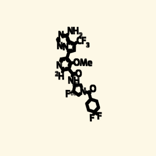 [2H]c1ncc(-c2cc(C(F)(F)F)c3c(N)ncnn23)c(OC)c1C(=O)N[C@@H]1CN(C(=O)C2CCC(F)(F)CC2)C[C@@H]1F